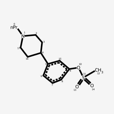 CCCN1CCC(c2cccc(OS(C)(=O)=O)c2)CC1